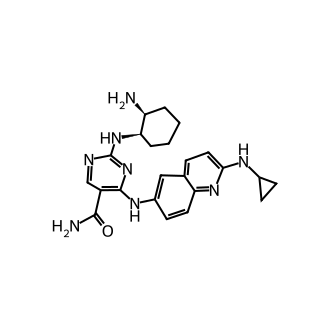 NC(=O)c1cnc(N[C@@H]2CCCC[C@@H]2N)nc1Nc1ccc2nc(NC3CC3)ccc2c1